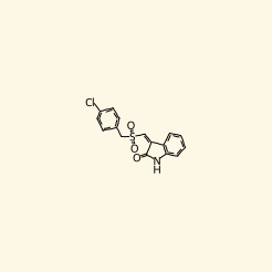 O=C1Nc2ccccc2C1=CS(=O)(=O)Cc1ccc(Cl)cc1